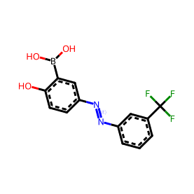 OB(O)c1cc(/N=N/c2cccc(C(F)(F)F)c2)ccc1O